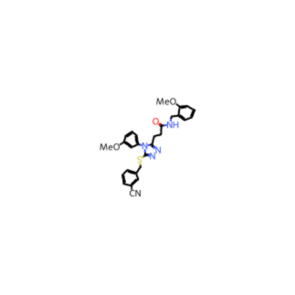 COc1cccc(-n2c(CCC(=O)NCc3ccccc3OC)nnc2SCc2cccc(C#N)c2)c1